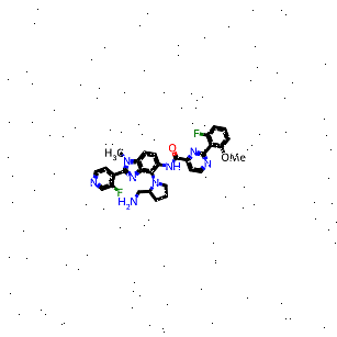 COc1cccc(F)c1-c1nccc(C(=O)Nc2ccc3c(nc(-c4ccncc4F)n3C)c2N2CCCC2CN)n1